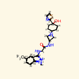 Cn1nc(NCC(=O)NC2CN(C3CCC(O)(c4nccs4)CC3)C2)c2cc(C(F)(F)F)ccc21